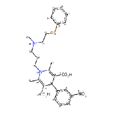 CC1=C(C(=O)O)C(c2cccc([N+](=O)[O-])c2)C(C(=O)O)=C(C)N1CCCN(C)CCSc1ccccc1